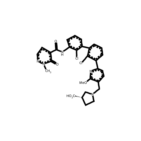 COc1nc(-c2cccc(-c3cccc(NC(=O)c4ccnn(C)c4=O)c3Cl)c2Cl)ccc1CN1CC[C@H](C(=O)O)C1